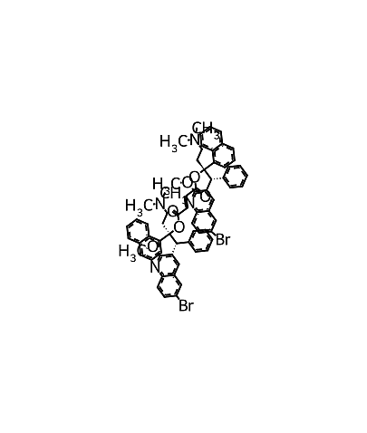 COc1nc2ccc(Br)cc2cc1[C@@H](c1ccccc1)[C@](CCN(C)C)(OC(=O)/C=C/C(=O)O[C@](CCN(C)C)(c1cccc2ccccc12)[C@H](c1ccccc1)c1cc2cc(Br)ccc2nc1OC)c1cccc2ccccc12